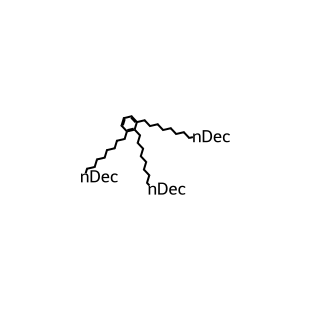 CCCCCCCCCCCCCCCCCCc1cccc(CCCCCCCCCCCCCCCCCC)c1CCCCCCCCCCCCCCCCCC